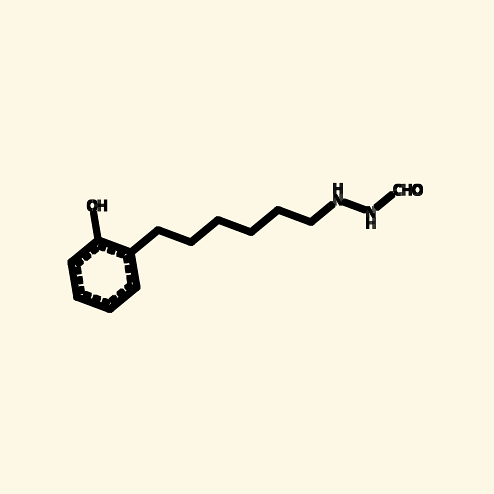 O=CNNCCCCCCc1ccccc1O